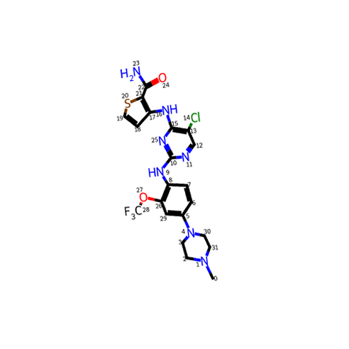 CN1CCN(c2ccc(Nc3ncc(Cl)c(Nc4ccsc4C(N)=O)n3)c(OC(F)(F)F)c2)CC1